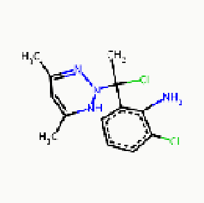 CC1=CC(C)=NN(C(C)(Cl)c2cccc(Cl)c2N)N1